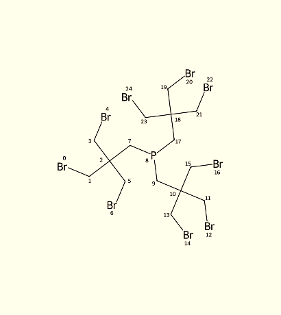 BrCC(CBr)(CBr)CP(CC(CBr)(CBr)CBr)CC(CBr)(CBr)CBr